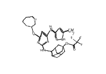 Cc1cc(Nc2cc(OC3CCCCOC3)nc(NC3C4CC5CC3CC(OC(=O)C(F)(F)F)(C5)C4)n2)n[nH]1